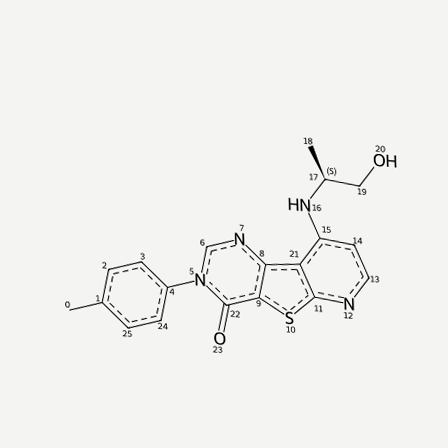 Cc1ccc(-n2cnc3c(sc4nccc(N[C@@H](C)CO)c43)c2=O)cc1